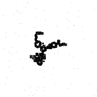 COCCCN1CCCN(c2nc(/C(N)=N/OC(=O)[C@@]3(C)CCCc4sc(N)c(C#N)c43)cc(N3CC4(CCN(C(=O)OC(C)(C)C)CC4)C3)n2)[C@@H](C)C1